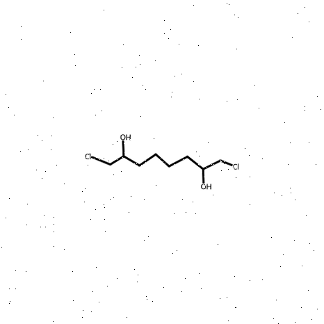 OC(CCl)CCCCC(O)CCl